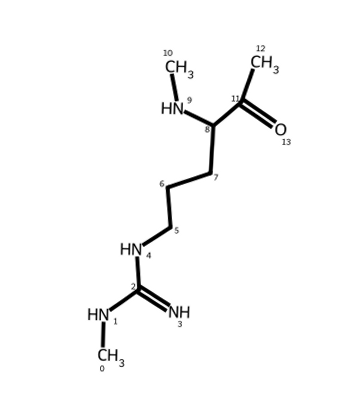 CNC(=N)NCCCC(NC)C(C)=O